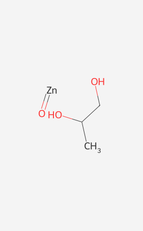 CC(O)CO.[O]=[Zn]